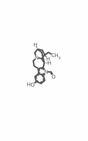 CC[C@H]1C[C@H]2C[C@H]3c4c(c5cc(O)ccc5n4C=O)CCN(C2)C13